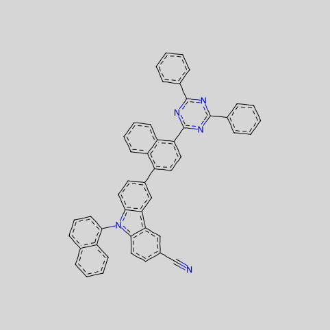 N#Cc1ccc2c(c1)c1cc(-c3ccc(-c4nc(-c5ccccc5)nc(-c5ccccc5)n4)c4ccccc34)ccc1n2-c1cccc2ccccc12